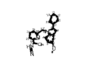 COc1ccc2c(c1)cc(-c1ccccc1)n2Cc1cccc(C(=O)NC#N)n1